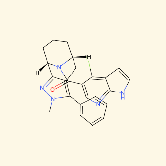 Cn1nc2c(c1-c1ccccc1)C[C@H]1CCC[C@@H]2N1C(=O)c1cnc2[nH]ccc2c1F